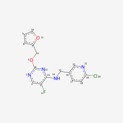 Fc1cnc(OCc2ccco2)nc1NCc1ccc(Cl)nc1